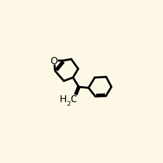 C=C(C1C=CCCC1)C1CCC2=C(C1)O2